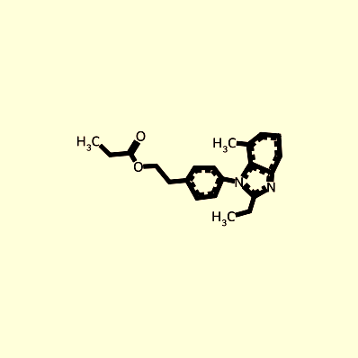 CCC(=O)OCCc1ccc(-n2c(CC)nc3cccc(C)c32)cc1